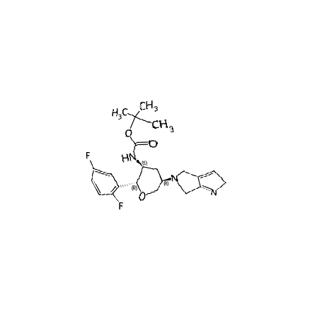 CC(C)(C)OC(=O)N[C@H]1C[C@@H](N2CC3=CCN=C3C2)CO[C@@H]1c1cc(F)ccc1F